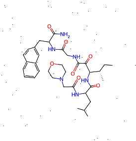 CC[C@H](C)C(NC(=O)C(CC(C)C)NC(=O)CN1CCOCC1)C(=O)C(=O)NCC(=O)NC(Cc1ccc2ccccc2c1)C(N)=O